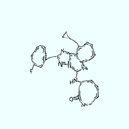 O=c1nccccc1Nc1nc2cccc(C3CC3)c2c2nc(-c3cccc(F)c3)nn12